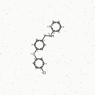 Clc1ccc(Oc2ccc(CNc3ccccn3)cc2)cc1